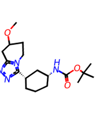 COC1CCn2c(nnc2[C@H]2CCC[C@@H](NC(=O)OC(C)(C)C)C2)C1